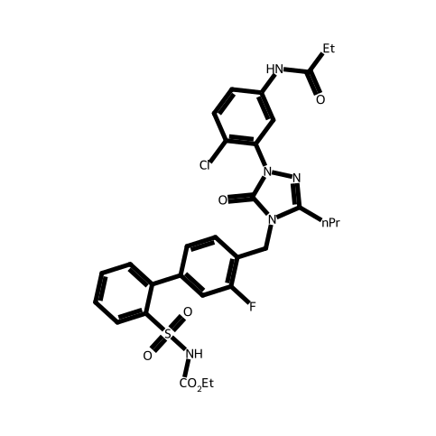 CCCc1nn(-c2cc(NC(=O)CC)ccc2Cl)c(=O)n1Cc1ccc(-c2ccccc2S(=O)(=O)NC(=O)OCC)cc1F